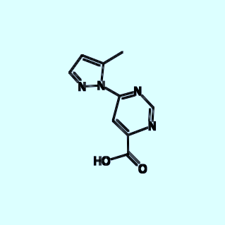 Cc1ccnn1-c1cc(C(=O)O)ncn1